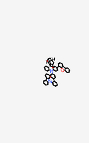 c1ccc(-n2c3ccccc3c3ccccc32)c(-c2ccc(N(c3ccc(-c4cccc5c4oc4ccccc45)cc3)c3ccccc3[C@]34CC5C[C@@H]6CC(C3)[C@H]6C54)cc2)c1